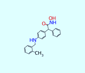 Cc1ccccc1CNc1ccc(C(C(=O)NO)c2ccccc2)cc1